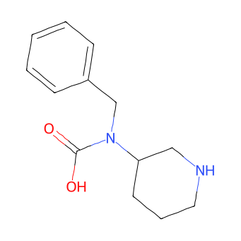 O=C(O)N(Cc1ccccc1)C1CCCNC1